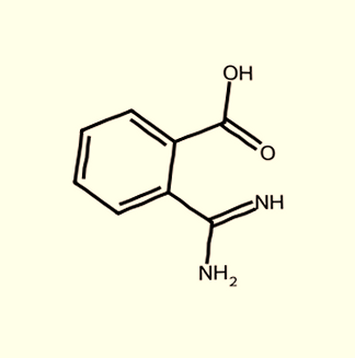 N=C(N)c1ccccc1C(=O)O